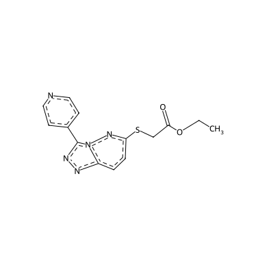 CCOC(=O)CSc1ccc2nnc(-c3ccncc3)n2n1